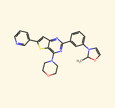 CC1OC=CN1c1cccc(-c2nc(N3CCOCC3)c3sc(-c4cccnc4)cc3n2)c1